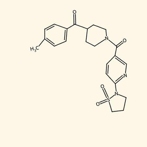 Cc1ccc(C(=O)C2CCN(C(=O)c3ccc(N4CCCS4(=O)=O)nc3)CC2)cc1